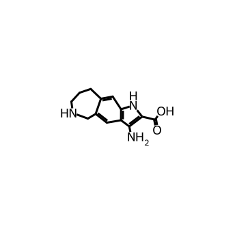 Nc1c(C(=O)O)[nH]c2cc3c(cc12)CNCCC3